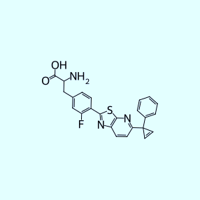 NC(Cc1ccc(-c2nc3ccc(C4(c5ccccc5)C=C4)nc3s2)c(F)c1)C(=O)O